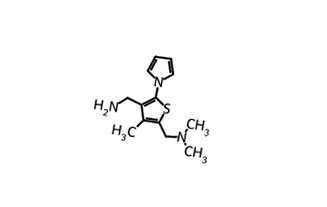 Cc1c(CN(C)C)sc(-n2cccc2)c1CN